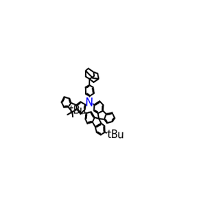 CC(C)(C)c1ccc2c(c1)C1(c3ccccc3-c3ccc(N(c4ccc(C56CC7CC(CC(C7)C5)C6)cc4)c4ccc5c(c4)-c4ccccc4C5(C)C)cc31)c1cc(C(C)(C)C)ccc1-2